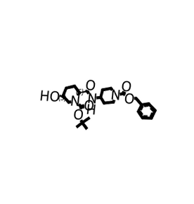 CC(C)(C)OC(=O)N1C[C@@H](O)CC[C@H]1C(=O)NC1CCN(C(=O)OCc2ccccc2)CC1